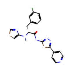 CN(c1cscn1)[C@@H](Cc1cccc(F)c1)C(=O)Nc1nnc(-c2ccncc2)s1